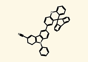 N#CC1=Cc2c(n(-c3ccccc3)c3ccc(-c4ccc5c(c4)C4(c6ccccc6O5)c5ccccc5-c5ccccc54)cc23)CC1